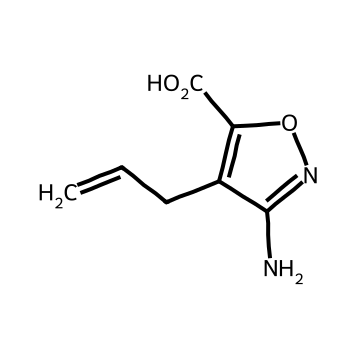 C=CCc1c(N)noc1C(=O)O